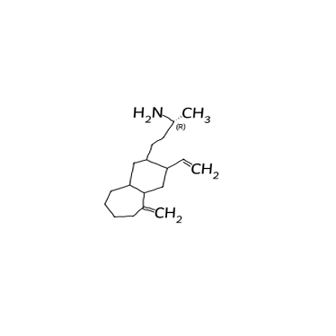 C=CC1CC2C(=C)CCCCC2CC1CC[C@@H](C)N